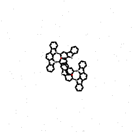 c1cc(-c2cccc(-n3c4ccccc4c4ccc5c6ccccc6n(-c6ccc7sc8ccccc8c7c6)c5c43)c2)cc(-n2c3ccccc3c3ccc4c5ccccc5n(-c5ccc6sc7ccccc7c6c5)c4c32)c1